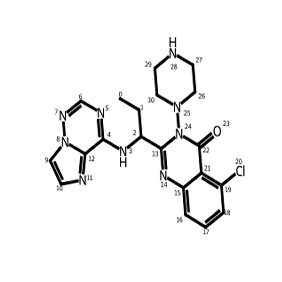 CCC(Nc1ncnn2ccnc12)c1nc2cccc(Cl)c2c(=O)n1N1CCNCC1